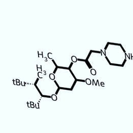 COC1CC(O[C@@H]([C@@H](C)C(C)(C)C)C(C)(C)C)OC(C)C1OC(=O)CN1CCNCC1